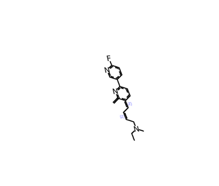 C=c1nc(-c2ccc(F)nc2)cc/c1=C/C=C\CN(C)CC